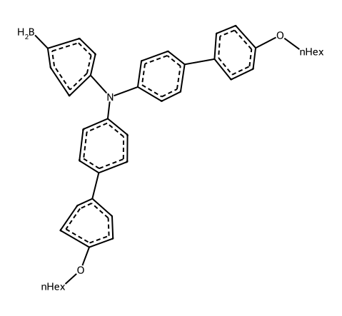 Bc1ccc(N(c2ccc(-c3ccc(OCCCCCC)cc3)cc2)c2ccc(-c3ccc(OCCCCCC)cc3)cc2)cc1